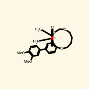 COc1ccc(-c2ccc3c(c2)[C@]2(CCOCCCCO3)N=C(N)N(C)C2=O)cc1OC